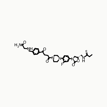 CCC(=S)NC[C@H]1CN(c2ccc(N3CCN(C(=O)CCC(=O)c4ccc(CNCC(N)=O)cc4)CC3)c(F)c2)C(=O)O1